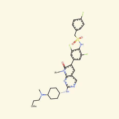 COCCN(C)[C@H]1CC[C@H](Nc2ncc3cc(-c4cc(F)c(NS(=O)(=O)Cc5ccc(F)cc5)c(F)c4)c(=O)n(C(C)C)c3n2)CC1